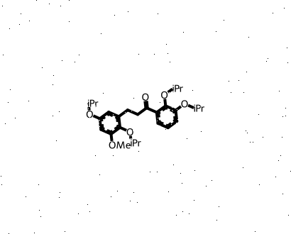 COc1cc(OC(C)C)cc(CCC(=O)c2cccc(OC(C)C)c2OC(C)C)c1OC(C)C